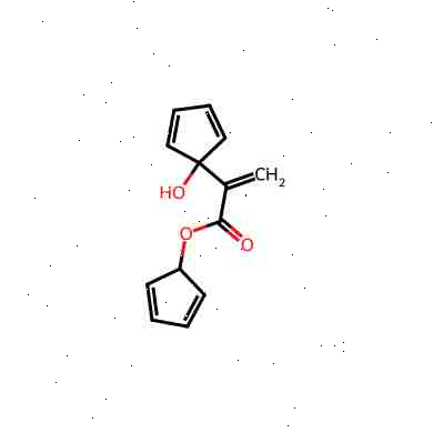 C=C(C(=O)OC1C=CC=C1)C1(O)C=CC=C1